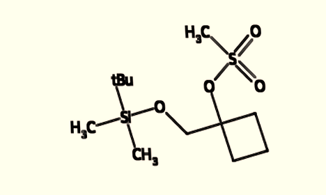 CC(C)(C)[Si](C)(C)OCC1(OS(C)(=O)=O)CCC1